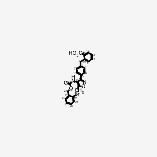 Cc1onc(-c2ccc(Cc3ccccc3C(=O)O)cc2)c1NC(=O)OCc1ccccc1Br